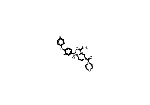 NC(=O)[C@H]1CN(C(=O)N2CCOCC2)CCN1S(=O)(=O)c1ccc(Oc2ccc(Cl)cc2)c(F)c1